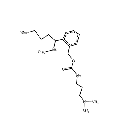 CCCCCCCCCCCCCC(NC=O)c1ccccc1COC(=O)NCCCN(C)C